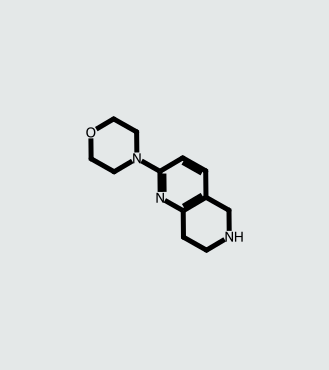 c1cc2c(nc1N1CCOCC1)CCNC2